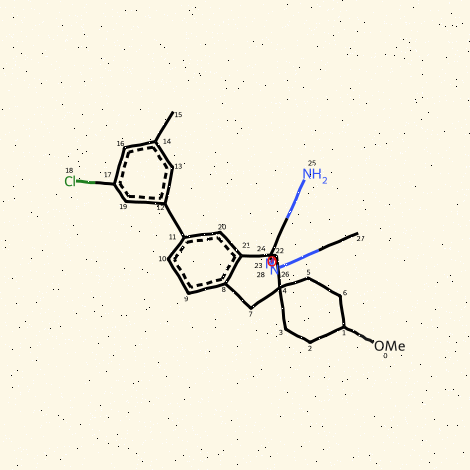 COC1CCC2(CC1)Cc1ccc(-c3cc(C)cc(Cl)c3)cc1C21N=C(N)N(C)O1